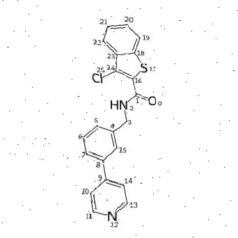 O=C(NCc1cccc(-c2ccncc2)c1)c1sc2ccccc2c1Cl